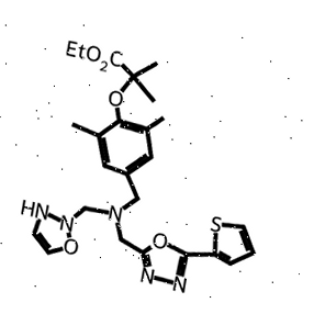 CCOC(=O)C(C)(C)Oc1c(C)cc(CN(Cc2nnc(-c3cccs3)o2)CN2NC=CO2)cc1C